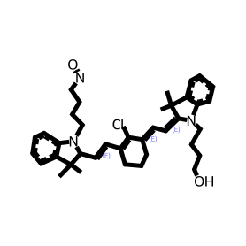 CC1(C)/C(=C\C=C2/CCCC(/C=C/C3N(CCCCN=O)c4ccccc4C3(C)C)=C2Cl)N(CCCCO)c2ccccc21